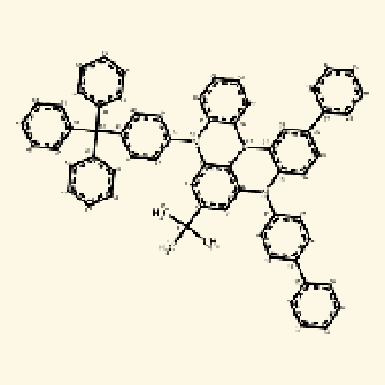 CC(C)(C)c1cc2c3c(c1)N(c1ccc(-c4ccccc4)cc1)c1ccc(-c4ccccc4)cc1B3c1ccccc1N2c1ccc(C(c2ccccc2)(c2ccccc2)c2ccccc2)cc1